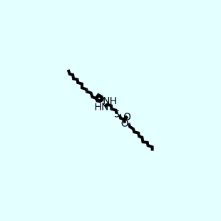 CCCCCCCCCCCCOC(=O)CCSCCCC(=N)Nc1ccc(CCCCCCCCCCCC)cc1